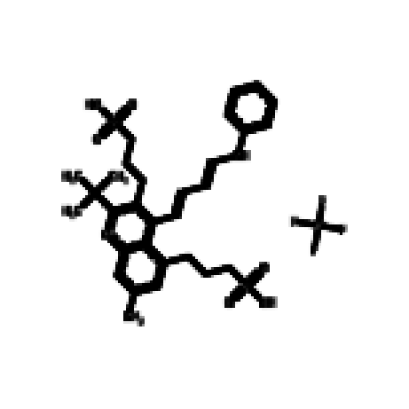 CC(C)(C)c1[o+]c2cc(N)cc(CCCS(=O)(=O)O)c2c(C=CC=CNc2ccccc2)c1CCCS(=O)(=O)O.F[B-](F)(F)F